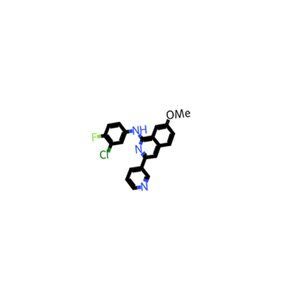 COc1ccc2cc(-c3cccnc3)nc(Nc3ccc(F)c(Cl)c3)c2c1